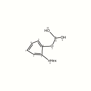 CCCCCCc1ccccc1OB(O)O